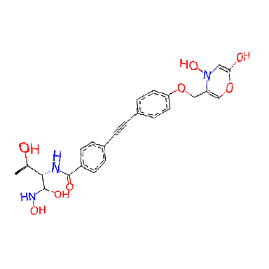 C[C@@H](O)[C@H](NC(=O)c1ccc(C#Cc2ccc(OCC3=COC(O)=CN3O)cc2)cc1)C(O)NO